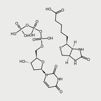 O=C(O)CCCC[C@@H]1SC[C@@H]2NC(=O)N[C@@H]21.O=c1ccn([C@H]2C[C@H](O)[C@@H](COP(=O)(O)OP(=O)(O)OP(=O)(O)O)O2)c(=O)[nH]1